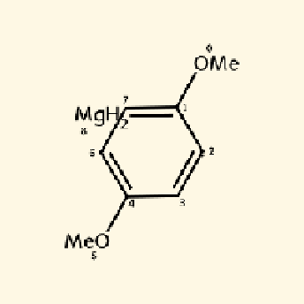 COc1[c]cc(OC)cc1.[MgH2]